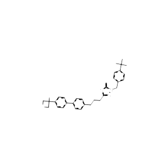 CC(C)(C)c1ccc(Cn2nc(CCCc3ccc(-c4ccc(C5(O)COC5)cc4)cc3)[nH]c2=O)cc1